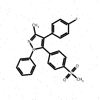 Cc1nn(-c2ccccc2)c(-c2ccc(S(C)(=O)=O)cc2)c1-c1ccc(F)cc1